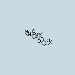 Cc1cn(-c2ccc3n(c2=O)C[C@@H](C)N(Cc2cccc4c2OC(C)(C)C4)C3=O)cn1